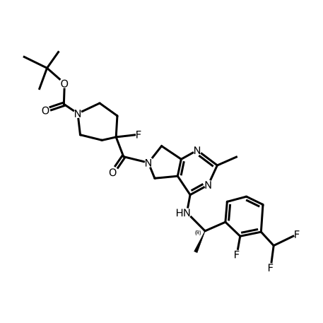 Cc1nc2c(c(N[C@H](C)c3cccc(C(F)F)c3F)n1)CN(C(=O)C1(F)CCN(C(=O)OC(C)(C)C)CC1)C2